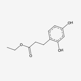 CCOC(=O)CCc1ccc(O)cc1O